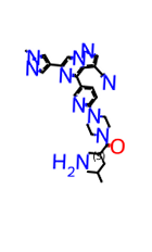 CC(C)C[C@@H](CN)C(=O)N1CCN(c2ccc(-c3nc(-c4cnn(C)c4)cn4ncc(C#N)c34)cn2)CC1